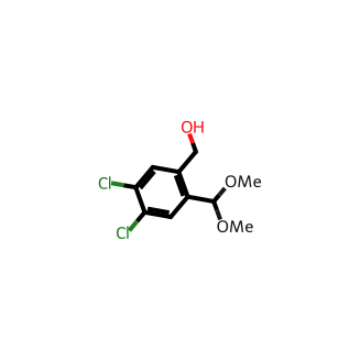 COC(OC)c1cc(Cl)c(Cl)cc1CO